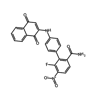 NC(=O)c1ccc([N+](=O)[O-])c(F)c1-c1ccc(NC2=CC(=O)c3ccccc3C2=O)cc1